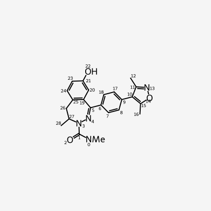 CNC(=O)N1N=C(c2ccc(-c3c(C)noc3C)cc2)c2cc(O)ccc2CC1C